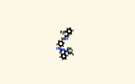 CN(C)c1nc(N[C@H]2CC[C@@H](CNCCc3ccccc3C(F)(F)F)CC2)nc2ccccc12